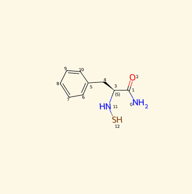 NC(=O)[C@H](Cc1ccccc1)NS